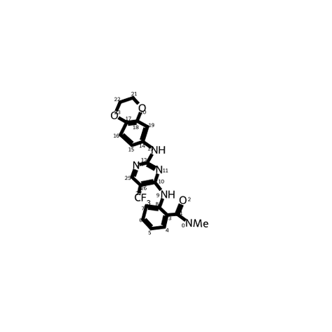 CNC(=O)c1ccccc1Nc1nc(Nc2ccc3c(c2)OCCO3)ncc1C(F)(F)F